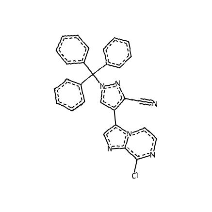 N#Cc1nn(C(c2ccccc2)(c2ccccc2)c2ccccc2)cc1-c1cnc2c(Cl)nccn12